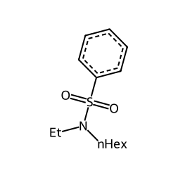 CCCCCCN(CC)S(=O)(=O)c1ccccc1